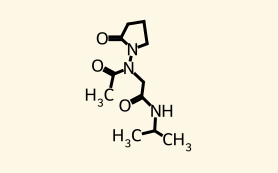 CC(=O)N(CC(=O)NC(C)C)N1CCCC1=O